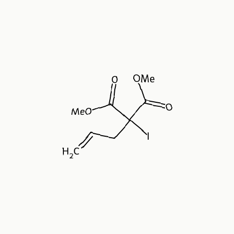 C=CCC(I)(C(=O)OC)C(=O)OC